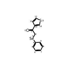 O=C(C[Se]c1ccccc1)c1ccsc1